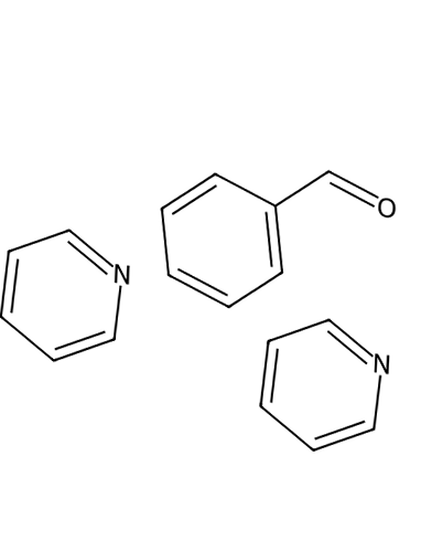 O=Cc1ccccc1.c1ccncc1.c1ccncc1